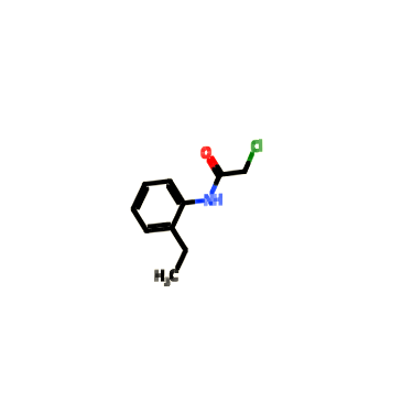 CCc1ccccc1NC(=O)CCl